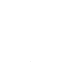 C=C1C/C(=C\CCCCCCCCC)C(=O)N1